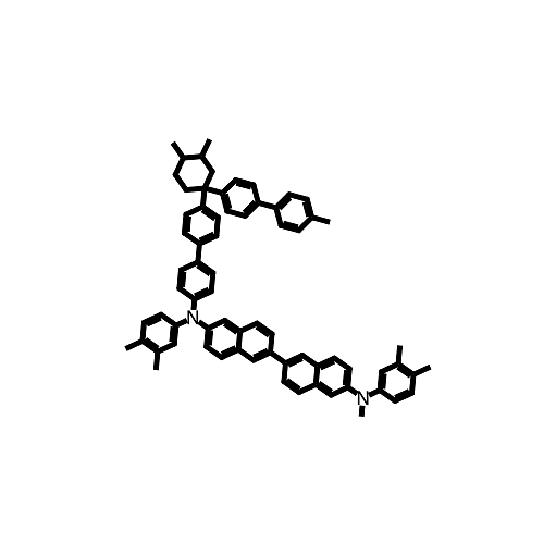 Cc1ccc(-c2ccc(C3(c4ccc(-c5ccc(N(c6ccc(C)c(C)c6)c6ccc7cc(-c8ccc9cc(N(C)c%10ccc(C)c(C)c%10)ccc9c8)ccc7c6)cc5)cc4)CCC(C)C(C)C3)cc2)cc1